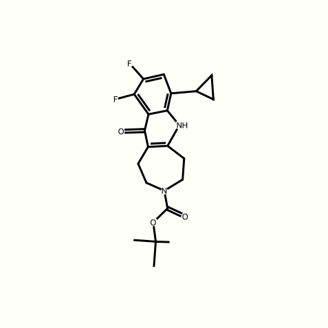 CC(C)(C)OC(=O)N1CCc2[nH]c3c(C4CC4)cc(F)c(F)c3c(=O)c2CC1